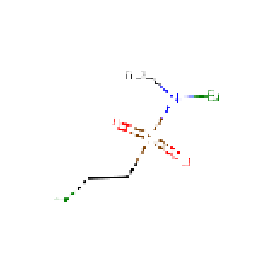 CCCCN(Br)S(=O)(=O)CCCl